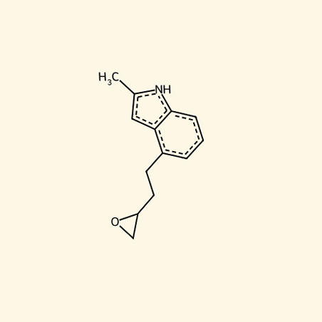 Cc1cc2c(CCC3CO3)cccc2[nH]1